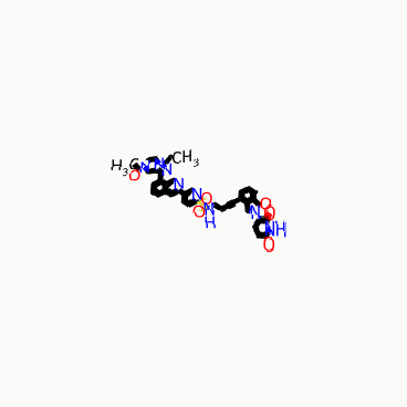 CCc1nc(-c2cccc3cc(-c4ccc(S(=O)(=O)NCCC#Cc5cccc6c5CN(C5CCC(=O)NC5=O)C6=O)nc4)ncc23)c2n1CCN(C(C)=O)C2